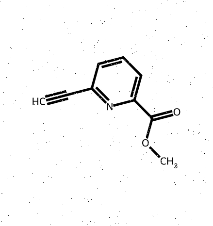 C#Cc1cccc(C(=O)OC)n1